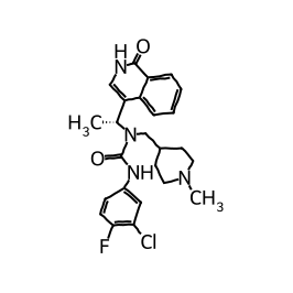 C[C@H](c1c[nH]c(=O)c2ccccc12)N(CC1CCN(C)CC1)C(=O)Nc1ccc(F)c(Cl)c1